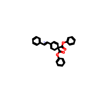 O=C(Oc1ccccc1)C1(C(=O)Oc2ccccc2)C=CC(/C=C/c2ccccc2)=CC1